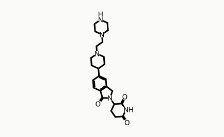 O=C1CCC(N2Cc3cc(C4CCN(CCN5CCNCC5)CC4)ccc3C2=O)C(=O)N1